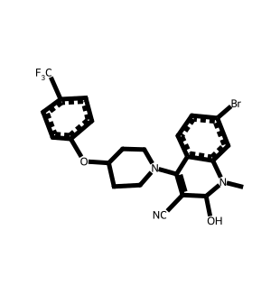 CN1c2cc(Br)ccc2C(N2CCC(Oc3ccc(C(F)(F)F)cc3)CC2)=C(C#N)C1O